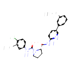 O=C(O)c1cccc(-c2ccc(NC(=O)[C@H]3CCCN3C(=O)Nc3ccc(Cl)c(C(F)(F)F)c3)nc2)c1